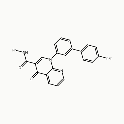 CCCc1ccc(-c2cccc(-n3cc(C(=O)NC(C)C)c(=O)c4cccnc43)c2)cc1